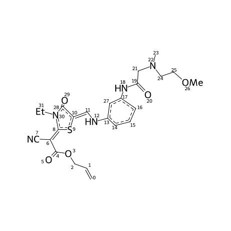 C=CCOC(=O)C(C#N)=c1sc(=CNc2cccc(NC(=O)CN(C)CCOC)c2)c(=O)n1CC